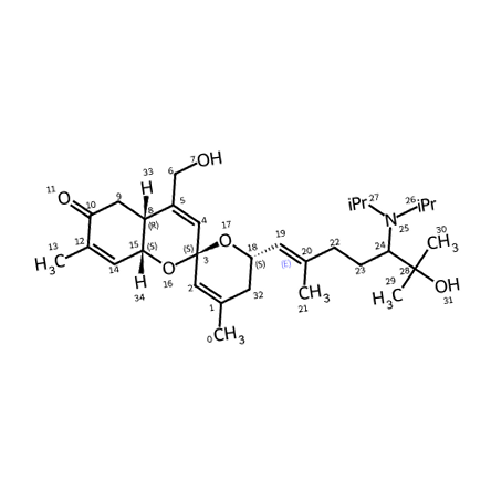 CC1=C[C@]2(C=C(CO)[C@H]3CC(=O)C(C)=C[C@H]3O2)O[C@H](/C=C(\C)CCC(N(C(C)C)C(C)C)C(C)(C)O)C1